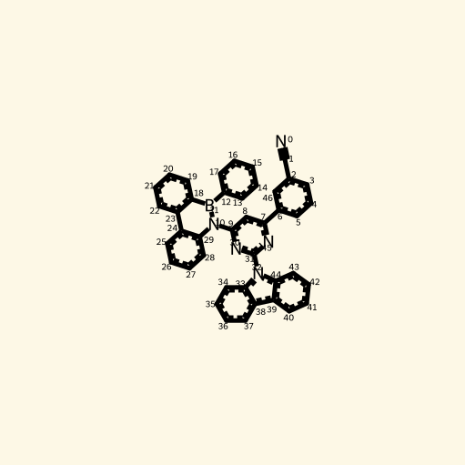 N#Cc1cccc(-c2cc(N3B(c4ccccc4)c4ccccc4-c4ccccc43)nc(-n3c4ccccc4c4ccccc43)n2)c1